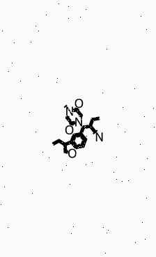 CCC1COc2ccc(C(C(C#N)CC)N3CC(=O)N(C)CC3=O)cc21